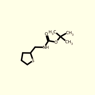 CC(C)(C)OC(=O)NCC1CCCS1